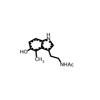 CC(=O)NCCc1c[nH]c2ccc(O)c(C)c12